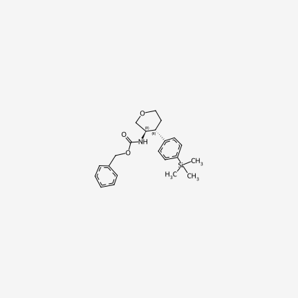 C[Si](C)(C)c1ccc([C@H]2CCOC[C@@H]2NC(=O)OCc2ccccc2)cc1